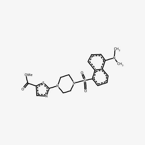 COC(=O)c1cnc(N2CCN(S(=O)(=O)c3cccc4c(N(C)C)cccc34)CC2)s1